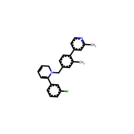 Cc1cc(-c2ccc(CN3CC=CC=C3c3cccc(F)c3)cc2C)ccn1